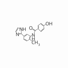 Cc1ccc(-c2ncc[nH]2)cc1NC(=O)c1ccc(O)cc1